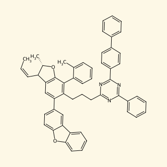 C/C=C\C1c2cc(-c3ccc4oc5ccccc5c4c3)c(CCCc3nc(-c4ccccc4)nc(-c4ccc(-c5ccccc5)cc4)n3)c(-c3ccccc3C)c2O[C@H]1C